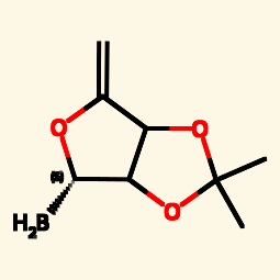 B[C@@H]1OC(=C)C2OC(C)(C)OC21